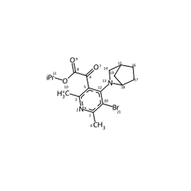 Cc1nc(C)c(C(=O)C(=O)OC(C)C)c(N2CC3CCC2C3)c1Br